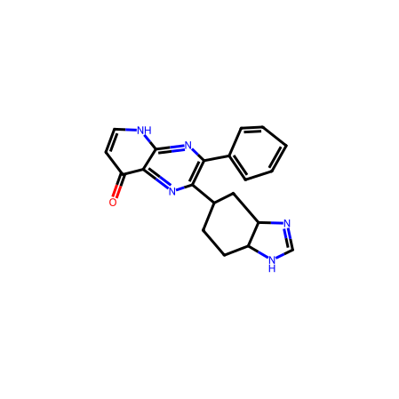 O=c1cc[nH]c2nc(-c3ccccc3)c(C3CCC4NC=NC4C3)nc12